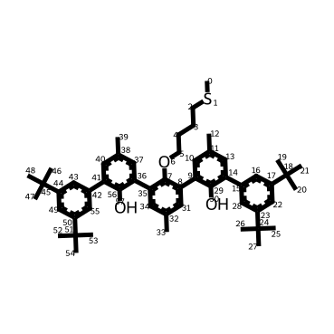 CSCCCCOc1c(-c2cc(C)cc(-c3cc(C(C)(C)C)cc(C(C)(C)C)c3)c2O)cc(C)cc1-c1cc(C)cc(-c2cc(C(C)(C)C)cc(C(C)(C)C)c2)c1O